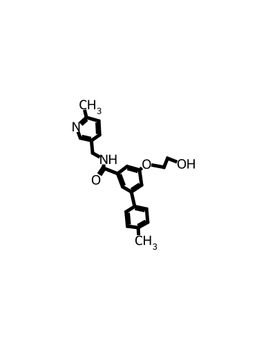 Cc1ccc(-c2cc(OCCO)cc(C(=O)NCc3ccc(C)nc3)c2)cc1